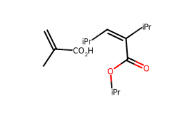 C=C(C)C(=O)O.CC(C)C=C(C(=O)OC(C)C)C(C)C